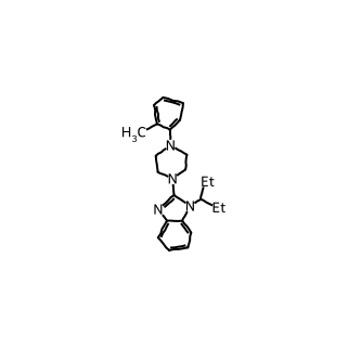 CCC(CC)n1c(N2CCN(c3ccccc3C)CC2)nc2ccccc21